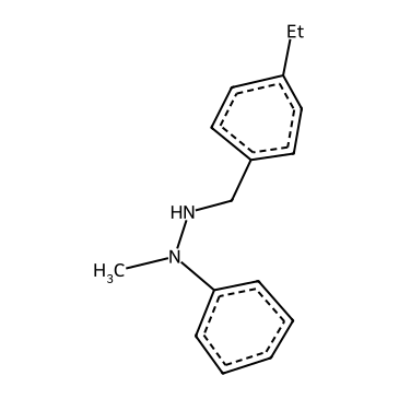 CCc1ccc(CNN(C)c2ccccc2)cc1